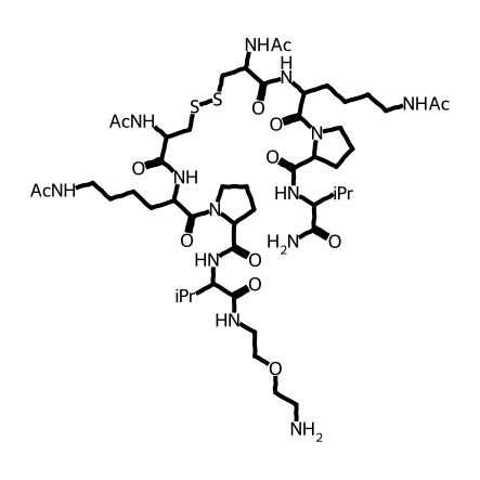 CC(=O)NCCCCC(NC(=O)C(CSSCC(NC(C)=O)C(=O)NC(CCCCNC(C)=O)C(=O)N1CCCC1C(=O)NC(C(=O)NCCOCCN)C(C)C)NC(C)=O)C(=O)N1CCCC1C(=O)NC(C(N)=O)C(C)C